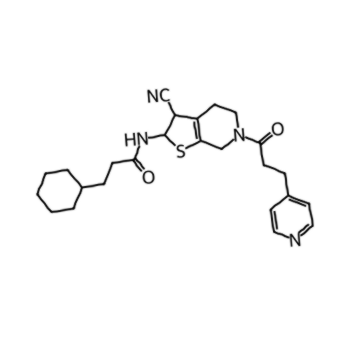 N#CC1C2=C(CN(C(=O)CCc3ccncc3)CC2)SC1NC(=O)CCC1CCCCC1